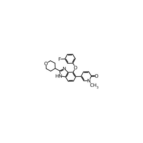 Cn1cc(-c2ccc3[nH]c(C4CCOCC4)nc3c2Oc2cccc(F)c2)ccc1=O